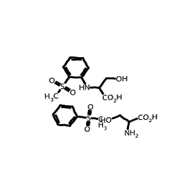 CS(=O)(=O)c1ccccc1.CS(=O)(=O)c1ccccc1NC(CO)C(=O)O.NC(CO)C(=O)O